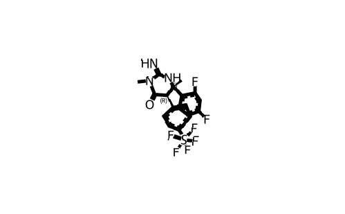 CN1C(=N)N[C@](C)(c2ccc(F)cc2F)[C@@H](c2ccc(S(F)(F)(F)(F)F)cc2)C1=O